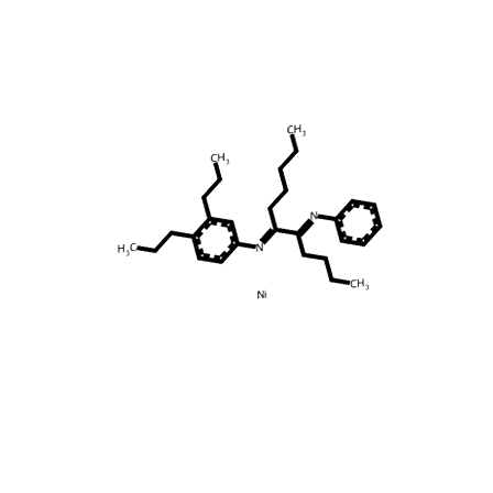 CCCCCC(=Nc1ccc(CCC)c(CCC)c1)C(CCCC)=Nc1ccccc1.[Ni]